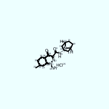 CCCn1nc(C(=O)N[C@H]2C[C@H]3CC[C@@H](C2)N3C)c(=O)c2ccc(C)cc21.Cl